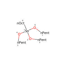 CCCCCCC[CH2][Sn]([O]CCCCC)([O]CCCCC)[O]CCCCC